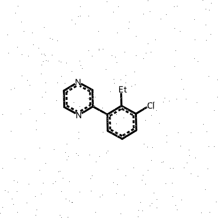 CCc1c(Cl)cccc1-c1cnccn1